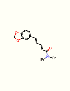 CC(C)N(C(=O)/C=C/C=Cc1ccc2c(c1)OCO2)C(C)C